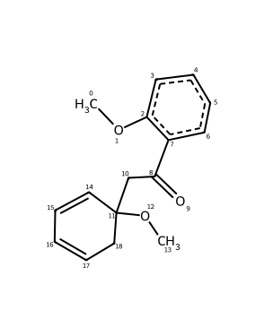 COc1ccccc1C(=O)CC1(OC)C=CC=CC1